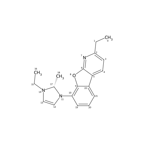 CCc1ccc2c(n1)oc1c(N3C=CN(CC)[C@@H]3C)cccc12